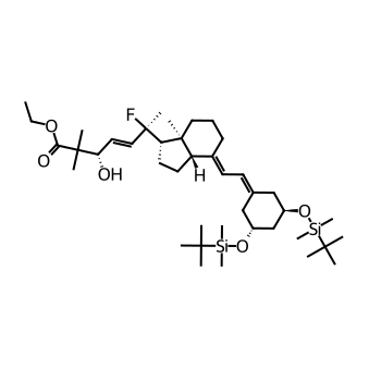 CCOC(=O)C(C)(C)[C@@H](O)/C=C/[C@@](C)(F)[C@H]1CC[C@H]2/C(=C/C=C3C[C@@H](O[Si](C)(C)C(C)(C)C)C[C@H](O[Si](C)(C)C(C)(C)C)C3)CCC[C@@]21C